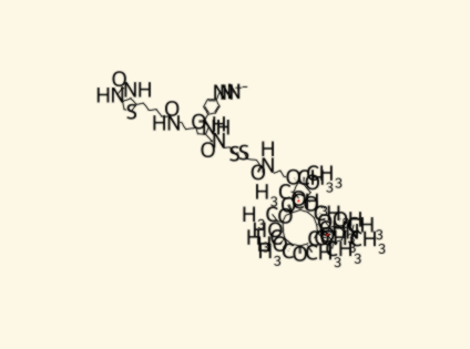 CC[C@H]1OC(=O)[C@H](C)[C@@H](O[C@H]2C[C@@](C)(OC)[C@@H](OCCCNC(=O)CCSSCCNC(=O)C(CCCCNC(=O)CCCCC3SCC4NC(=O)NC43)NC(=O)c3ccc(N=[N+]=[N-])cc3)[C@H](C)O2)[C@H](C)[C@@H](O[C@@H]2O[C@H](C)C[C@H](N(C)C)[C@H]2O)[C@](C)(OC)C[C@@H](C)C(=O)[C@H](C)[C@@H](O)[C@]1(C)O